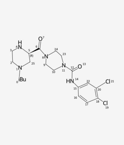 CCC(C)N1CCN[C@@H](C(=O)N2CCN(C(=O)Nc3ccc(Cl)c(Cl)c3)CC2)C1